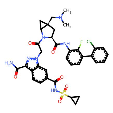 CN(C)C[C@]12CC1N(C(=O)Cn1nc(C(N)=O)c3ccc(C(=O)NS(=O)(=O)C4CC4)cc31)[C@H](C(=O)Nc1cccc(-c3ccccc3Cl)c1F)C2